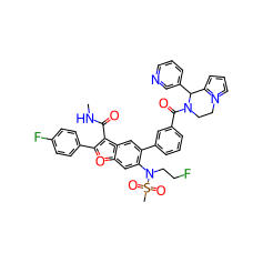 CNC(=O)c1c(-c2ccc(F)cc2)oc2cc(N(CCF)S(C)(=O)=O)c(-c3cccc(C(=O)N4CCn5cccc5C4c4cccnc4)c3)cc12